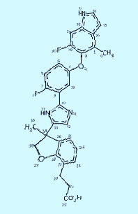 Cc1c(Oc2ccc(F)c(-c3ncc(C4(C)COc5c(CCC(=O)O)cccc54)[nH]3)c2)c(F)cc2[nH]ccc12